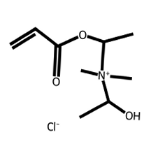 C=CC(=O)OC(C)[N+](C)(C)C(C)O.[Cl-]